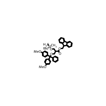 COc1ccc(C(OCC(CO[Si](C)(C)C(C)(C)C)C(=O)OCC2c3ccccc3-c3ccccc32)(c2ccccc2)c2ccc(OC)cc2)cc1